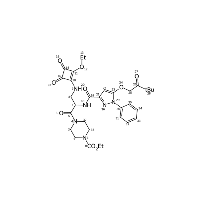 CCOC(=O)N1CCN(C(=O)C(CNc2c(OCC)c(=O)c2=O)NC(=O)c2cc(OCC(=O)C(C)(C)C)n(-c3ccccc3)n2)CC1